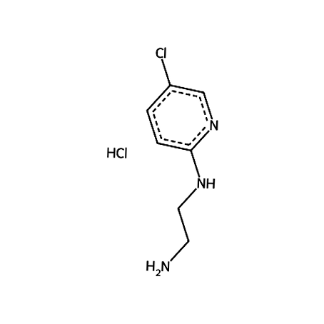 Cl.NCCNc1ccc(Cl)cn1